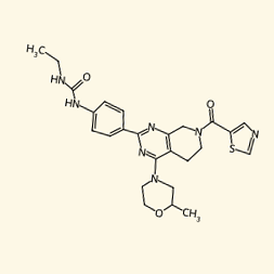 CCNC(=O)Nc1ccc(-c2nc3c(c(N4CCOC(C)C4)n2)CCN(C(=O)c2cncs2)C3)cc1